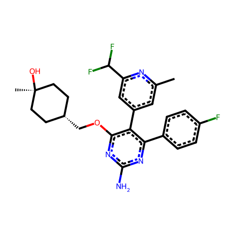 Cc1cc(-c2c(OC[C@H]3CC[C@](C)(O)CC3)nc(N)nc2-c2ccc(F)cc2)cc(C(F)F)n1